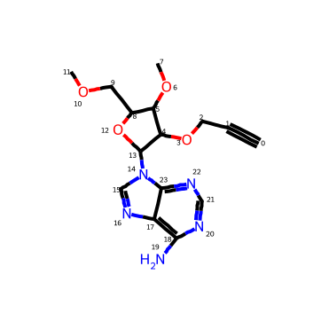 C#CCOC1C(OC)C(COC)OC1n1cnc2c(N)ncnc21